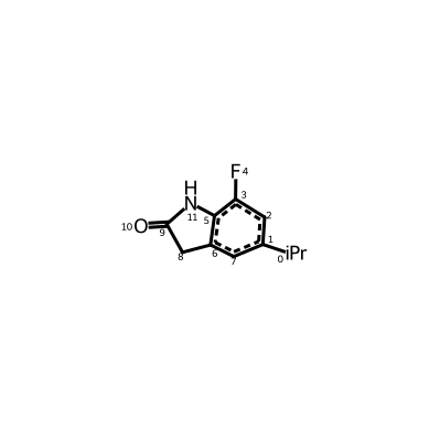 CC(C)c1cc(F)c2c(c1)CC(=O)N2